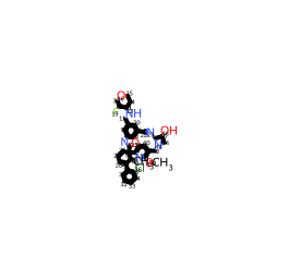 COc1nc(C2(c3nc4cc(CN[C@@H]5CCOC[C@@H]5F)cc(C#N)c4o3)C=CC=C(c3ccccc3Cl)C2C)ccc1CN1CC(O)C1